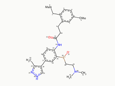 CNCc1ccc(OC)cc1CCC(=O)Nc1ccc(-c2c[nH]nc2C)cc1[S+]([O-])CCN(C)C